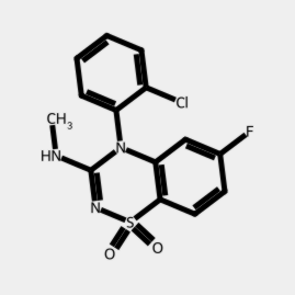 CNC1=NS(=O)(=O)c2ccc(F)cc2N1c1ccccc1Cl